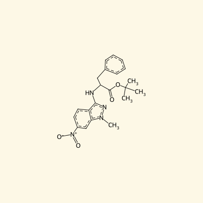 Cn1nc(NC(Cc2ccccc2)C(=O)OC(C)(C)C)c2ccc([N+](=O)[O-])cc21